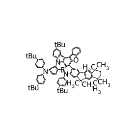 CC(C)(C)c1ccc(N2B3c4ccc(N(c5ccc(C(C)(C)C)cc5)c5ccc(C(C)(C)C)cc5)cc4-n4c5ccc(C(C)(C)C)cc5c5c6c(oc7ccccc76)c(c3c54)-c3cc4c(cc32)C(C)(C)c2cc3c(cc2-4)C(C)(C)CCC3(C)C)cc1